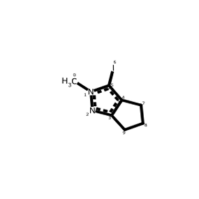 Cn1nc2c(c1I)CCC2